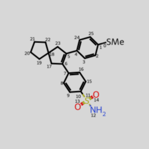 CSc1ccc(C2=C(c3ccc(S(N)(=O)=O)cc3)CC3(CCCC3)C2)cc1